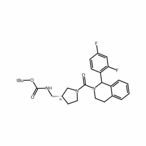 CC(C)(C)OC(=O)NC[C@H]1CCN(C(=O)N2CCc3ccccc3C2c2ccc(F)cc2F)C1